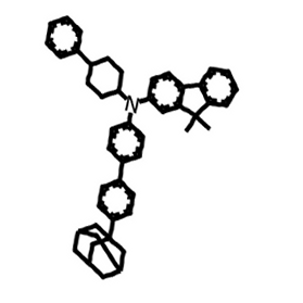 CC1(C)c2ccccc2-c2ccc(N(c3ccc(-c4ccc(C56CC7CC(CC(C7)C5)C6)cc4)cc3)C3CCC(c4ccccc4)CC3)cc21